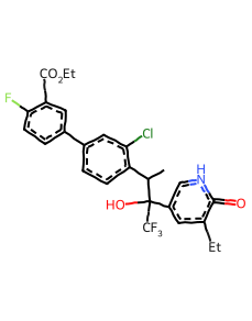 CCOC(=O)c1cc(-c2ccc(C(C)C(O)(c3c[nH]c(=O)c(CC)c3)C(F)(F)F)c(Cl)c2)ccc1F